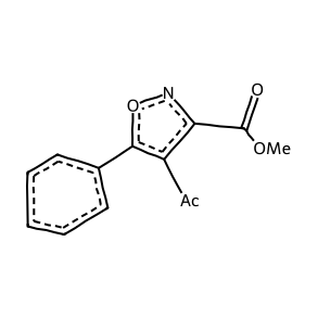 COC(=O)c1noc(-c2ccccc2)c1C(C)=O